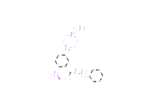 CN1CCN(c2ccc([N+](=O)[O-])c(C(=O)NCc3ccccc3)c2)CC1